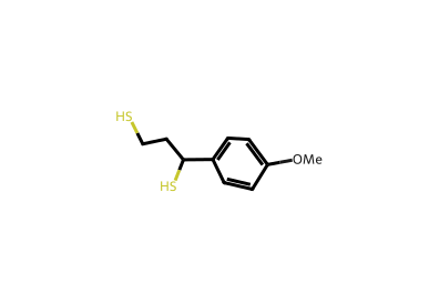 COc1ccc(C(S)CCS)cc1